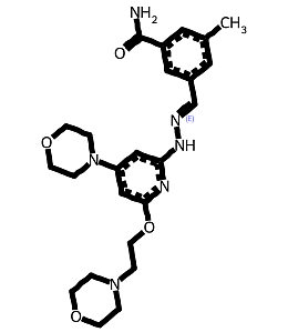 Cc1cc(/C=N/Nc2cc(N3CCOCC3)cc(OCCN3CCOCC3)n2)cc(C(N)=O)c1